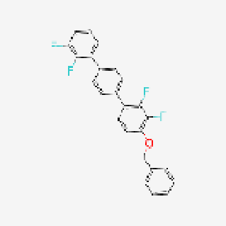 Fc1cccc(-c2ccc(-c3ccc(OCc4ccccc4)c(F)c3F)cc2)c1F